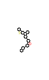 c1ccc2cc(-c3ccc4oc5ccc(-c6ccc7c(c6)c6ccccc6c6cc8c(cc76)sc6ccccc68)cc5c4c3)ccc2c1